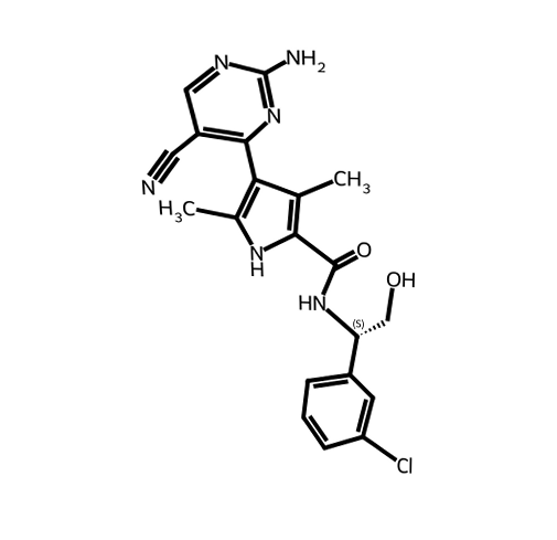 Cc1[nH]c(C(=O)N[C@H](CO)c2cccc(Cl)c2)c(C)c1-c1nc(N)ncc1C#N